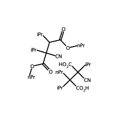 CCCC(C(=O)O)(C(C)C)C(C#N)(C(=O)O)C(C)C.CCCOC(=O)C(C(C)C)C(C#N)(C(=O)OCCC)C(C)C